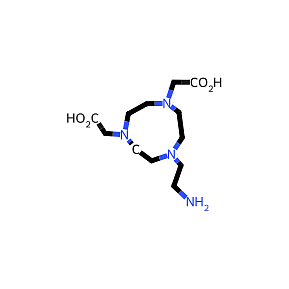 NCCN1CCN(CC(=O)O)CCN(CC(=O)O)CC1